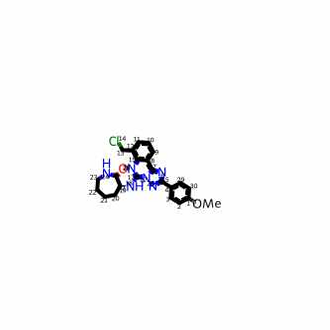 COc1ccc(-c2nc3c4cccc(CCl)c4nc(N[C@@H]4CCCCNC4=O)n3n2)cc1